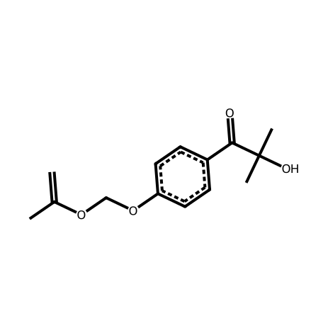 C=C(C)OCOc1ccc(C(=O)C(C)(C)O)cc1